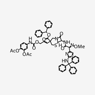 CON=C(C(=O)NC1C(=O)N2CC(C=CCOC(=O)Nc3ccc(OC(C)=O)c(OC(C)=O)c3)(C(=O)OC(c3ccccc3)c3ccccc3)CS[C@H]12)c1csc(NC(c2ccccc2)(c2ccccc2)c2ccccc2)n1